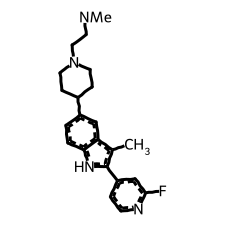 CNCCN1CCC(c2ccc3[nH]c(-c4ccnc(F)c4)c(C)c3c2)CC1